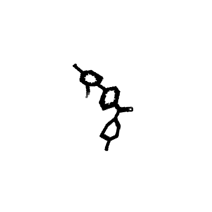 Cc1ccc(-c2ccc(C(=O)C3CCC(C)CC3)cc2)c(F)c1